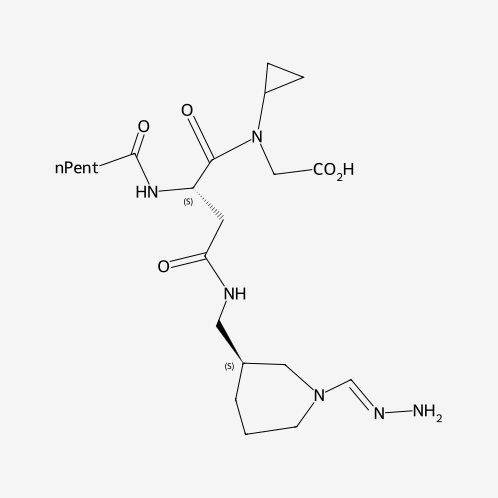 CCCCCC(=O)N[C@@H](CC(=O)NC[C@@H]1CCCN(C=NN)C1)C(=O)N(CC(=O)O)C1CC1